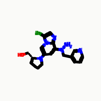 NN(Cc1cccnc1)c1cc(N2CCC[C@@H]2CO)cn2c(Br)cnc12